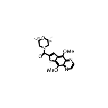 COc1c2cc(C(=O)N3C[C@@H](C)O[C@@H](C)C3)sc2c(OC)c2nccnc12